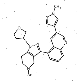 CC(=O)N1CCc2c(c(-c3cccc4ncc(-c5cnn(C)c5)cc34)nn2C2CCOC2)C1